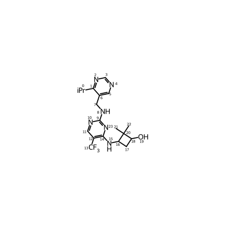 CC(C)c1ncncc1CNc1ncc(C(F)(F)F)c(NC2CC(O)C2(C)C)n1